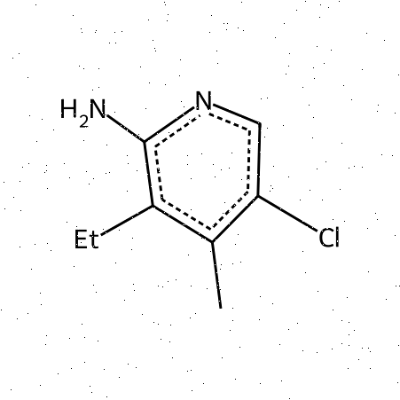 CCc1c(N)ncc(Cl)c1C